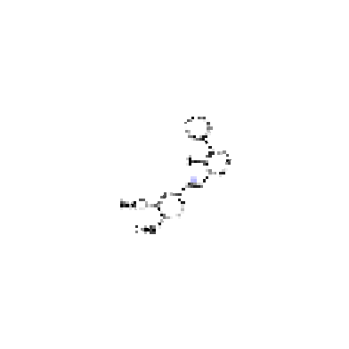 COc1cc(/C=C/c2cccc(-c3ccccc3)c2Cl)c(C)cc1C=O